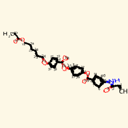 C=CC(=O)Nc1ccc(C(=O)Oc2ccc(OC(=O)c3ccc(OCCCCCCOC(=O)C=C)cc3)cc2)cc1